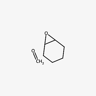 C1CCC2OC2C1.C=O